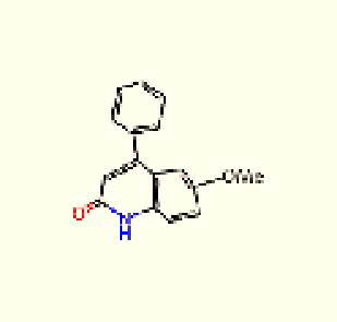 COc1ccc2[nH]c(=O)cc(-c3ccccc3)c2c1